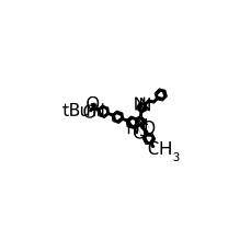 Cc1ccc(S(=O)(=O)n2cc(-c3cnn(CCc4ccccc4)c3)c3cc(-c4ccc(C5CCN(C(=O)OC(C)(C)C)CC5)cc4)cnc32)cc1